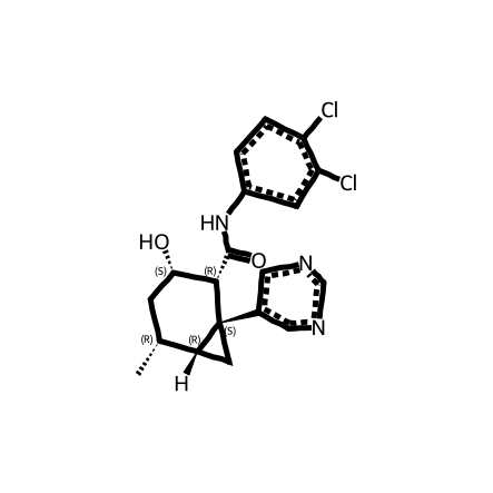 C[C@@H]1C[C@H](O)[C@H](C(=O)Nc2ccc(Cl)c(Cl)c2)[C@]2(c3cncnc3)C[C@H]12